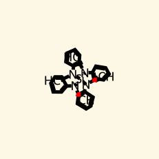 C#CN(c1ccccc1)[Si](N(C#C)c1ccccc1)(N(C#C)c1ccccc1)N(C#C)c1ccccc1